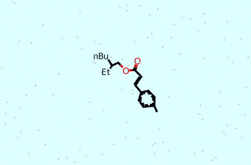 CCCCC(CC)COC(=O)C=Cc1ccc(C)cc1